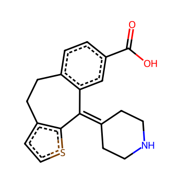 O=C(O)c1ccc2c(c1)C(=C1CCNCC1)c1sccc1CC2